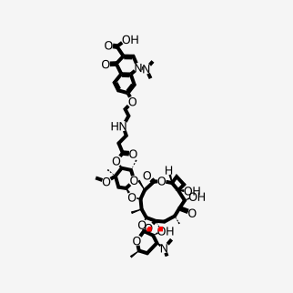 CO[C@]1(C)C[C@@H](C)C(=O)[C@@H](O)[C@@]2(O)CC[C@H]2OC(=O)[C@H](C)[C@@H](O[C@H]2C[C@@](C)(OC)[C@@H](OC(=O)CCNCCOc3ccc4c(=O)c(C(=O)O)cn(N(C)C)c4c3)[C@H](C)O2)[C@H](C)[C@H]1O[C@@H]1O[C@H](C)C[C@H](N(C)C)[C@H]1O